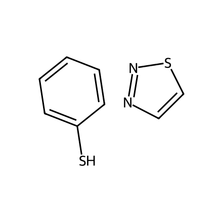 Sc1ccccc1.c1csnn1